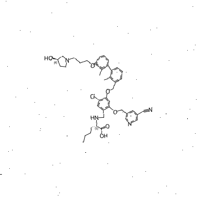 CCCC[C@H](NCc1cc(Cl)c(OCc2cccc(-c3cccc(OCCCN4CC[C@@H](O)C4)c3C)c2C)cc1OCc1cncc(C#N)c1)C(=O)O